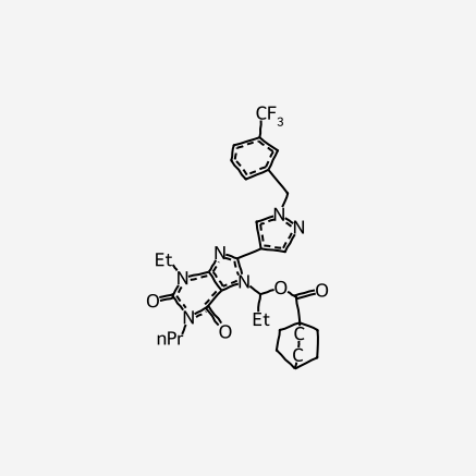 CCCn1c(=O)c2c(nc(-c3cnn(Cc4cccc(C(F)(F)F)c4)c3)n2C(CC)OC(=O)C23CCC(CC2)CC3)n(CC)c1=O